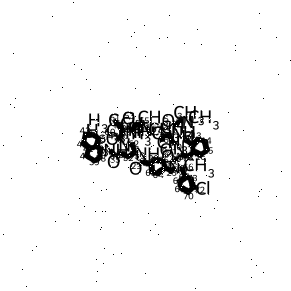 CN[C@@H](C)C(=O)NC(C(=O)N1Cc2ccccc2C[C@H]1C(=O)N(Cc1ccc(C(=O)NC2C[C@@H](C(=O)N[C@@H]3CCCc4ccccc43)N(C(=O)[C@@H](NC(=O)[C@H](C)NC)C(C)(C)C)C2)cc1)[C@H](C)c1cccc(Cl)c1)C(C)(C)C